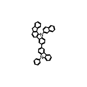 c1ccc(-n2c3ccccc3c3cc(-c4ccc5c(c4)c4ccc6c(c4n5-c4ccc5ccccc5c4)-c4ccccc4C6)ccc32)cc1